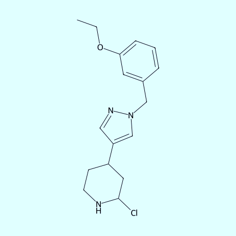 CCOc1cccc(Cn2cc(C3CCNC(Cl)C3)cn2)c1